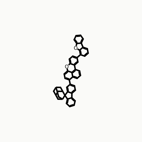 c1ccc2c(c1)-c1ccc(-c3ccc4c5c(cccc35)-c3cc(-c5cccc6c5oc5ccccc56)ccc3O4)cc1C21C2CC3CC(C2)CC1C3